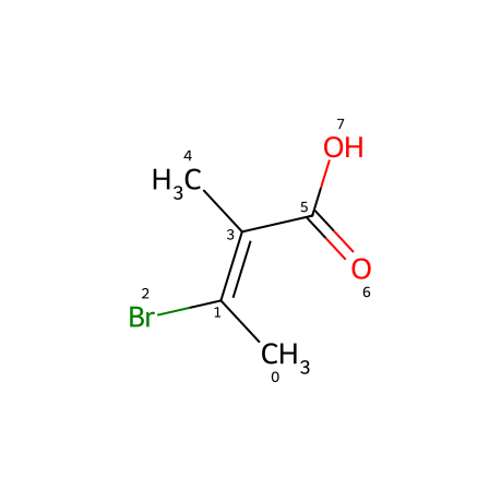 CC(Br)=C(C)C(=O)O